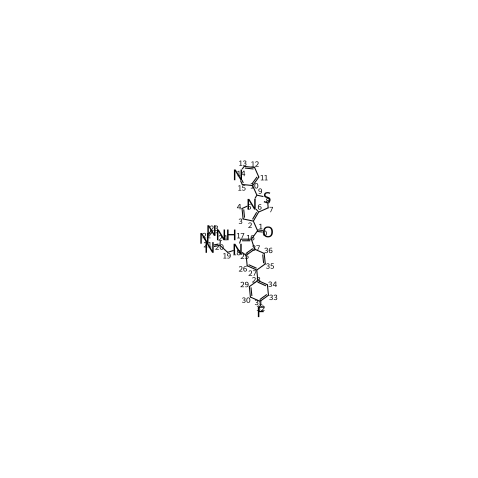 O=C(c1ccn2c1CSC2c1cccnc1)c1cn(Cc2nnn[nH]2)c2cc(-c3ccc(F)cc3)ccc12